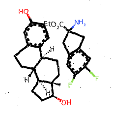 CCOC(=O)C1(N)Cc2cc(F)c(F)cc2C1.C[C@]12CC[C@@H]3c4ccc(O)cc4CC[C@H]3[C@@H]1CC[C@@H]2O